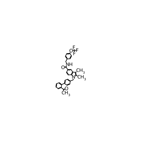 CC(=O)c1ccccc1-c1ccc(Cn2c(C)c(C)c3cc(C(=O)NCc4ccc(OC(F)(F)F)cc4)ccc32)cc1